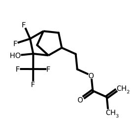 C=C(C)C(=O)OCCC1CC2CC1C(O)(C(F)(F)F)C2(F)F